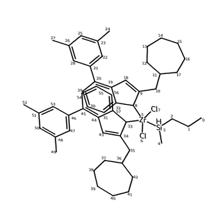 CCC[SiH](C)[Zr]([Cl])([Cl])([CH]1C(CC2CCCCCC2)=Cc2c(-c3cc(C)cc(C)c3)cccc21)[CH]1C(CC2CCCCCC2)=Cc2c(-c3cc(C)cc(C)c3)cccc21